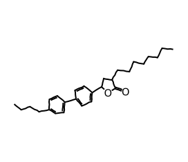 CCCCCCCCC1CC(c2ccc(-c3ccc(CCCC)cc3)cc2)OC1=O